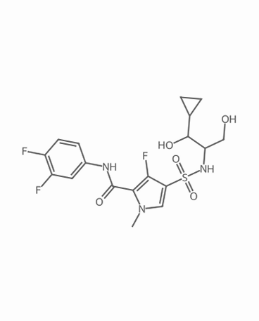 Cn1cc(S(=O)(=O)NC(CO)C(O)C2CC2)c(F)c1C(=O)Nc1ccc(F)c(F)c1